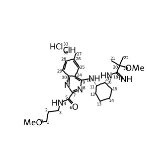 COCCCNC(=O)c1nc(N[C@H]2CCCC[C@H]2NC(=N)C(C)(C)OC)c2cc(C)ccc2n1.Cl.Cl